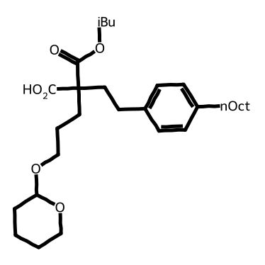 CCCCCCCCc1ccc(CCC(CCCOC2CCCCO2)(C(=O)O)C(=O)OC(C)CC)cc1